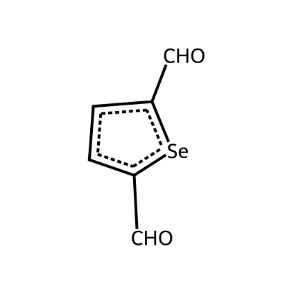 O=Cc1ccc(C=O)[se]1